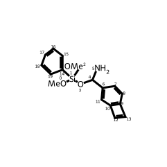 CO[Si](OC)(OC(N)c1ccc2c(c1)C=C2)c1ccccc1